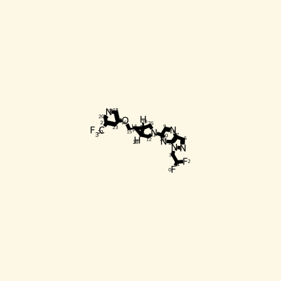 FC(F)Cn1ncc2ncc(N3C[C@@H]4[C@@H](COc5cncc(C(F)(F)F)c5)[C@@H]4C3)nc21